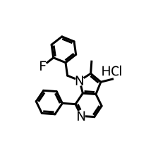 Cc1c(C)n(Cc2ccccc2F)c2c(-c3ccccc3)nccc12.Cl